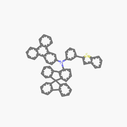 c1cc(-c2cc3ccccc3s2)cc(N(c2ccc3c4ccccc4c4ccccc4c3c2)c2cccc3c2-c2ccccc2C32c3ccccc3-c3ccccc32)c1